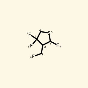 FCC1C(F)SCC1(F)F